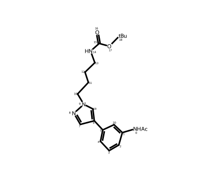 CC(=O)Nc1cccc(-c2cnn(CCCCNC(=O)OC(C)(C)C)c2)c1